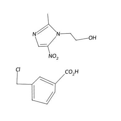 Cc1ncc([N+](=O)[O-])n1CCO.O=C(O)c1cccc(CCl)c1